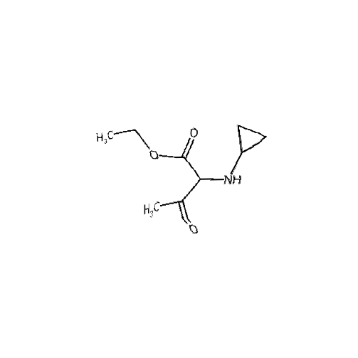 CCOC(=O)C(NC1CC1)C(C)=O